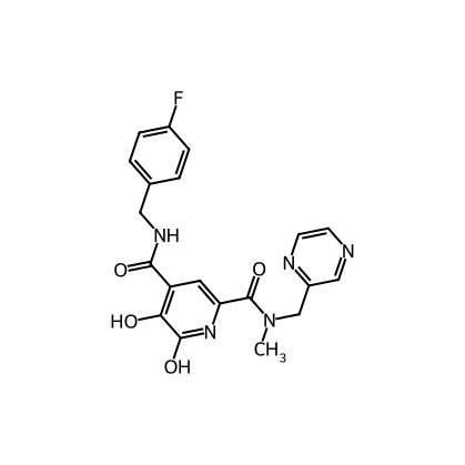 CN(Cc1cnccn1)C(=O)c1cc(C(=O)NCc2ccc(F)cc2)c(O)c(O)n1